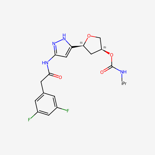 CC(C)NC(=O)O[C@@H]1CO[C@H](c2cc(NC(=O)Cc3cc(F)cc(F)c3)n[nH]2)C1